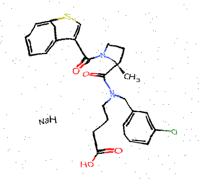 C[C@]1(C(=O)N(CCCC(=O)O)Cc2cccc(Cl)c2)CCN1C(=O)c1csc2ccccc12.[NaH]